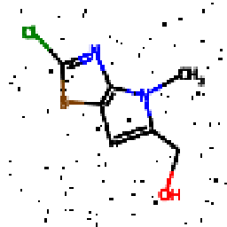 Cn1c(CO)cc2sc(Cl)nc21